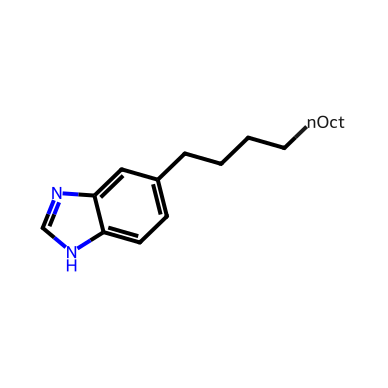 CCCCCCCCCCCCc1ccc2[nH]cnc2c1